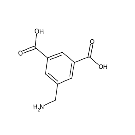 NCc1cc(C(=O)O)cc(C(=O)O)c1